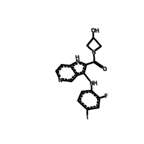 O=C(c1[nH]c2ccncc2c1Nc1ccc(I)cc1F)N1CC(O)C1